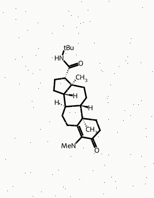 CNC1=C2CC[C@H]3[C@@H]4CC[C@H](C(=O)NC(C)(C)C)[C@@]4(C)CC[C@@H]3[C@@]2(C)CCC1=O